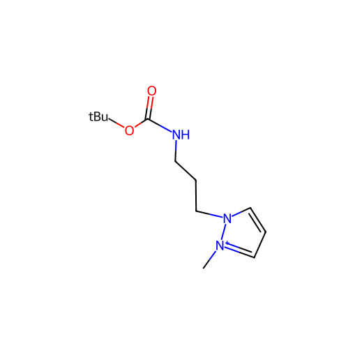 C[n+]1cccn1CCCNC(=O)OC(C)(C)C